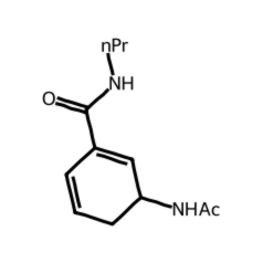 CCCNC(=O)C1=CC(NC(C)=O)CC=C1